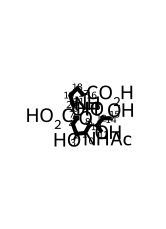 CC(=O)N[C@@H]1[C@@H](O)CC(O)(C(=O)O)O[C@H]1C(O)C(O)CO.O=C(O)[C@@H]1CCCN1